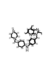 Cc1cc(C)c2nc(C)n(Cc3ccc(N[C@H]4CC[C@H](CN5CCN(C)CC5)CC4)cc3)c2n1